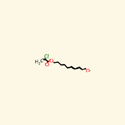 C=C(Cl)C(=O)OCCCCCCCCCC[O]